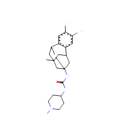 COc1cc2c(cc1OC)C1CC3(C)CC2CC(NC(=O)NC2CCN(C(C)=O)CC2)(C1)C3